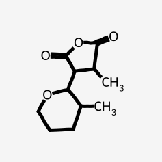 CC1CCCOC1C1C(=O)OC(=O)C1C